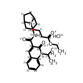 CCOC(=O)CCCN1C2CCC1CC(NC(=O)c1cc3ccccc3n(C(C)C)c1=O)C2.Cl